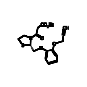 C#CCOc1ccccc1OC[C@@H]1SCCN1C(=O)CC(=O)OCC